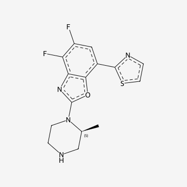 C[C@H]1CNCCN1c1nc2c(F)c(F)cc(-c3nccs3)c2o1